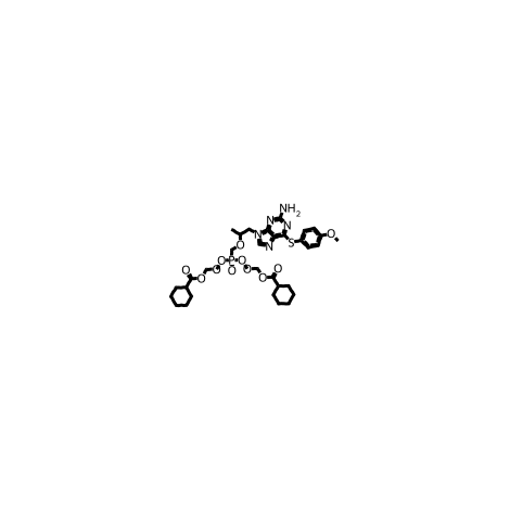 COc1ccc(Sc2nc(N)nc3c2ncn3CC(C)OCP(=O)(OOCOC(=O)C2CCCCC2)OOCOC(=O)C2CCCCC2)cc1